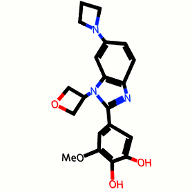 COc1cc(-c2nc3ccc(N4CCC4)cc3n2C2COC2)cc(O)c1O